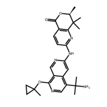 C[C@@H]1OC(=O)c2ccc(Nc3cc4c(C(C)(C)N)cnc(OC5(C)CC5)c4cn3)nc2C1(C)C